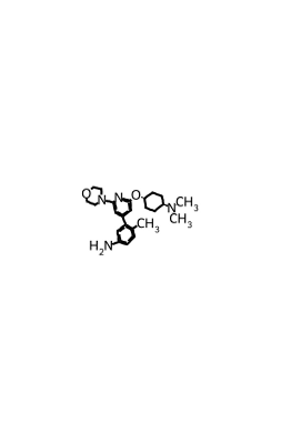 Cc1ccc(N)cc1-c1cc(O[C@H]2CC[C@H](N(C)C)CC2)nc(N2CCOCC2)c1